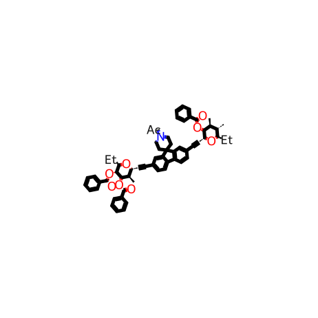 CC[C@H]1O[C@H](C#Cc2ccc3c(c2)C2(CCN(C(C)=O)CC2)c2cc(C#C[C@H]4O[C@H](CC)[C@@H](OC(=O)c5ccccc5)C(OC(=O)c5ccccc5)[C@@H]4C)ccc2-3)C(OC(=O)c2ccccc2)[C@@H](C)[C@@H]1C